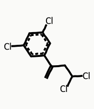 C=C(CC(Cl)Cl)c1cc(Cl)cc(Cl)c1